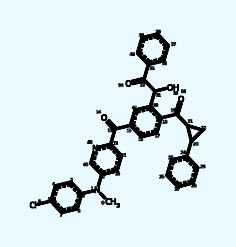 CN(c1ccc(Cl)cc1)c1ccc(C(=O)c2ccc(C(=O)C3CC3c3ccccc3)c(C(O)C(=O)c3ccccc3)c2)nc1